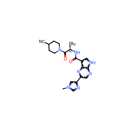 Cn1cnc(-c2cnc3[nH]cc(C(=O)N[C@@H](C(=O)N4CCC(C#N)CC4)C(C)(C)C)c3n2)c1